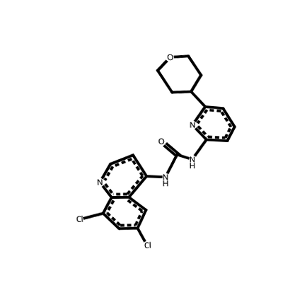 O=C(Nc1cccc(C2CCOCC2)n1)Nc1ccnc2c(Cl)cc(Cl)cc12